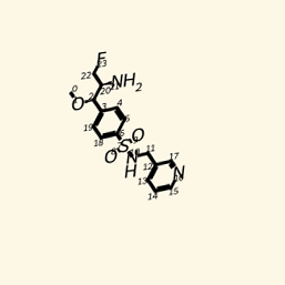 CO[C@H](c1ccc(S(=O)(=O)NCc2cccnc2)cc1)[C@H](N)CF